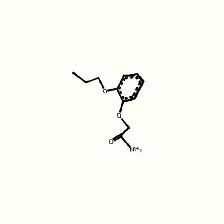 CCCOc1ccccc1OCC(N)=O